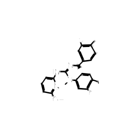 CN(/C(=N\C(=O)c1ccc(F)c(F)c1)Nc1cccc(O)n1)c1ccc(F)c(Cl)c1